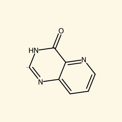 O=c1[nH][c]nc2cccnc12